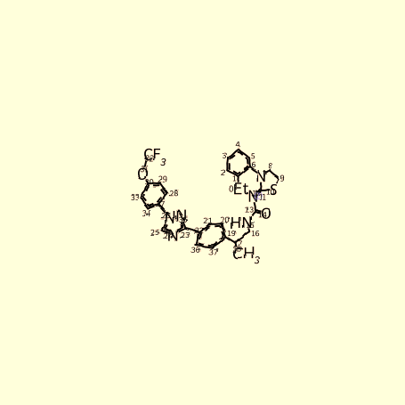 CCc1ccccc1N1CCS/C1=N\C(=O)NCC(C)c1ccc(-c2ncn(-c3ccc(OC(F)(F)F)cc3)n2)cc1